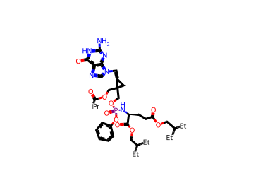 CCC(CC)COC(=O)CC[C@H](N[P@](=O)(OCC1(COC(=O)C(C)C)C/C1=C/n1cnc2c(=O)[nH]c(N)nc21)Oc1ccccc1)C(=O)OCC(CC)CC